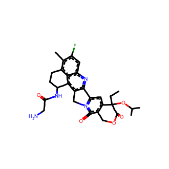 CCC1(OC(C)C)C(=O)OCc2c1cc1n(c2=O)Cc2c-1nc1cc(F)c(C)c3c1c2C(NC(=O)CN)CC3